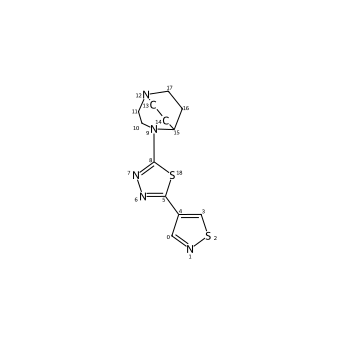 c1nscc1-c1nnc(N2CCN3CCC2CC3)s1